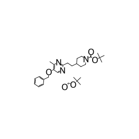 CC(C)(C)OC=O.Cc1nc(CCC2CCN(C(=O)OC(C)(C)C)CC2)ncc1OCc1ccccc1